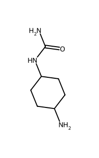 NC(=O)NC1CCC(N)CC1